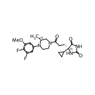 COc1cc(N2CCN(C(=O)CC[C@@]3(C4CC4)NC(=O)NC3=O)C[C@@H]2C)cc(F)c1F